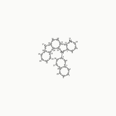 c1ccc2cc(-n3c4cccnc4c4ccc5sc6ccccc6c5c43)ccc2c1